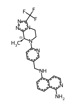 C[C@H]1c2nnc(C(F)(F)F)n2CCN1c1ccc(CNc2cccc3c(N)nccc23)cn1